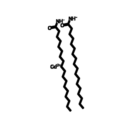 CCCCCCCCCCCCCCCCCC([NH-])=O.CCCCCCCCCCCCCCCCCC([NH-])=O.[Gd+2]